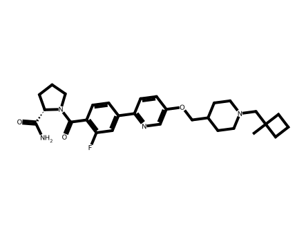 CC1(CN2CCC(COc3ccc(-c4ccc(C(=O)N5CCC[C@H]5C(N)=O)c(F)c4)nc3)CC2)CCC1